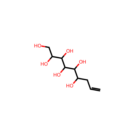 C=CCC(O)C(O)C(O)C(O)C(O)CO